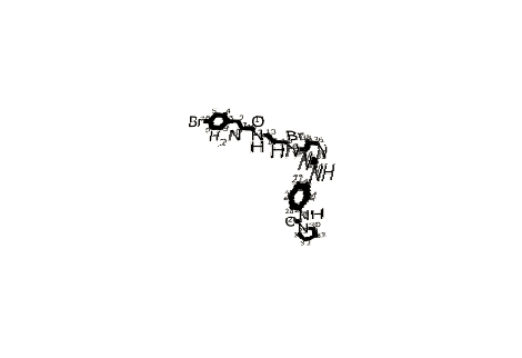 N[C@@H](Cc1ccc(Br)cc1)C(=O)NCCCNc1nc(Nc2cccc(NC(=O)N3CCCC3)c2)ncc1Br